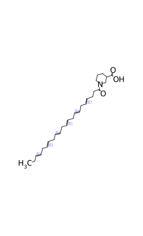 CC/C=C/C/C=C/C/C=C/C/C=C/C/C=C/C/C=C/CCC(=O)N1CCCC(C(=O)O)C1